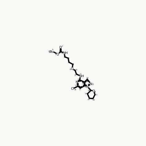 CC(C)(C)OC(=O)NCCCCOCCNc1nc(Cl)cc2c1cnn2C1CCCCO1